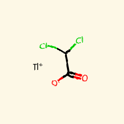 O=C([O-])C(Cl)Cl.[Tl+]